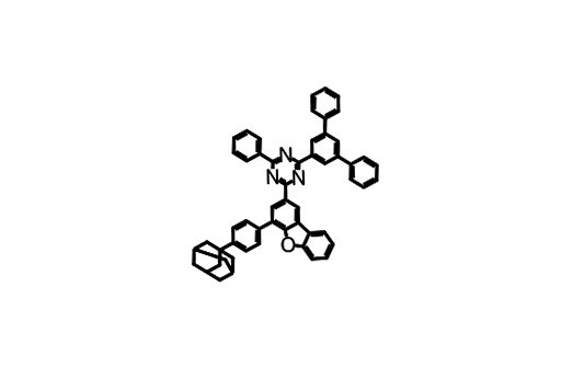 c1ccc(-c2cc(-c3ccccc3)cc(-c3nc(-c4ccccc4)nc(-c4cc(-c5ccc(C67CC8CC(CC(C8)C6)C7)cc5)c5oc6ccccc6c5c4)n3)c2)cc1